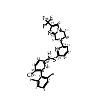 Cc1cccc(C)c1-c1nc(NSc2cccc(N3CCn4cc(C(F)(F)F)nc4C3)n2)ccc1Cl